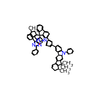 CC1C=CC2=C(C1)C1(C3=C2C=CCC3)c2ccccc2-c2ccc3c4cc(-c5ccc6c(c5)C5C=C7C(=CC5N6c5ccccc5)C(C)(C)C5=C7C=CCC5C)ccc4n(-c4nc(-c5ccccc5)nc(-c5ccccc5)n4)c3c21